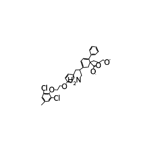 COCCCC1(C(=O)OC)CC(C(CN)Cc2ccc(OCCOc3c(Cl)cc(C)cc3Cl)cc2)=CC=C1c1ccccc1